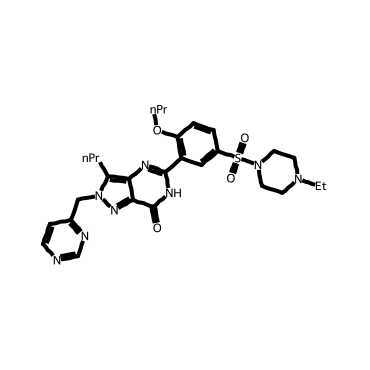 CCCOc1ccc(S(=O)(=O)N2CCN(CC)CC2)cc1-c1nc2c(CCC)n(Cc3ccncn3)nc2c(=O)[nH]1